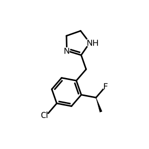 C[C@H](F)c1cc(Cl)ccc1CC1=NCCN1